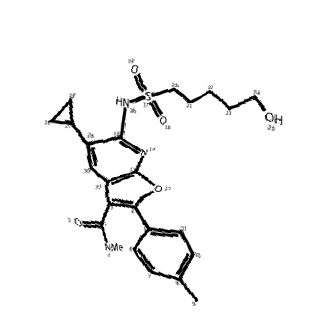 CNC(=O)c1c(-c2ccc(C)cc2)oc2nc(NS(=O)(=O)CCCCCO)c(C3CC3)cc12